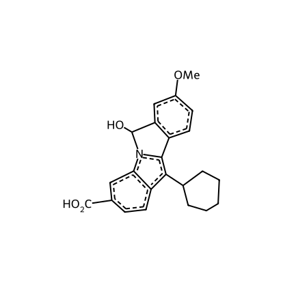 COc1ccc2c(c1)C(O)n1c-2c(C2CCCCC2)c2ccc(C(=O)O)cc21